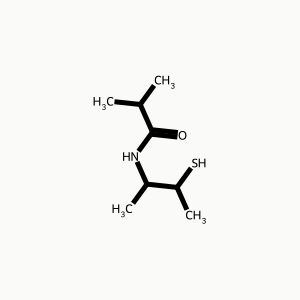 CC(C)C(=O)NC(C)C(C)S